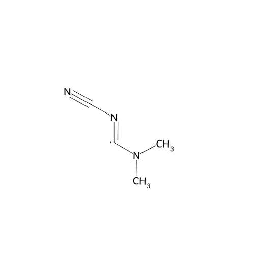 CN(C)/[C]=N/C#N